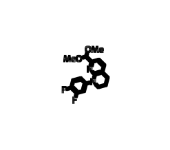 COC(OC)c1ccc2c(n1)N(c1ccc(F)c(F)c1)CCC2